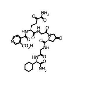 NC(=O)C(=O)CC[C@H](NC(=O)c1ccncc1C(=O)O)C(=O)NCC(=O)N1CC(=O)C[C@H]1C(=O)NCC(=O)N[C@H](C(N)=O)C1CCCCC1